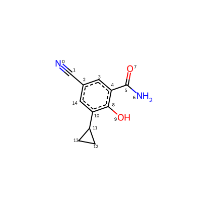 N#Cc1cc(C(N)=O)c(O)c(C2CC2)c1